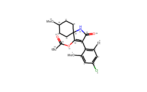 CCc1cc(Cl)cc(OC)c1C1=C(OC(=O)C(C)(C)C)C2(CCC(OC)CC2)NC1=O